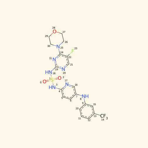 O=S(=O)(Nc1ccc(Nc2cccc(C(F)(F)F)c2)cn1)Nc1ncc(F)c(N2CCOCC2)n1